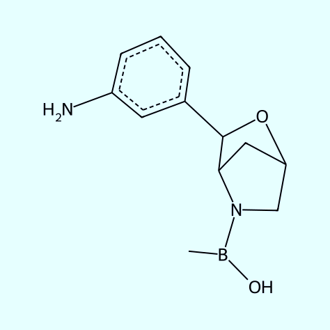 CB(O)N1CC2CC1C(c1cccc(N)c1)O2